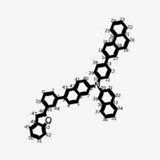 c1cc(-c2ccc3cc(N(c4ccc(-c5ccc6c(ccc7ccccc76)c5)cc4)c4ccc5ccccc5c4)ccc3c2)cc(-c2cc3ccccc3o2)c1